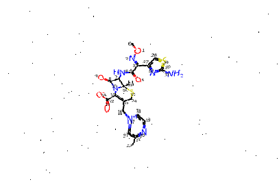 CON=C(C(=O)NC1C(=O)N2C(C(=O)[O-])=C(C[n+]3ccnc(C)c3)CS[C@@H]12)c1csc(N)n1